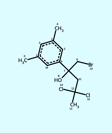 Cc1cc(C)cc(C(O)(CBr)CC(C)(Cl)Cl)c1